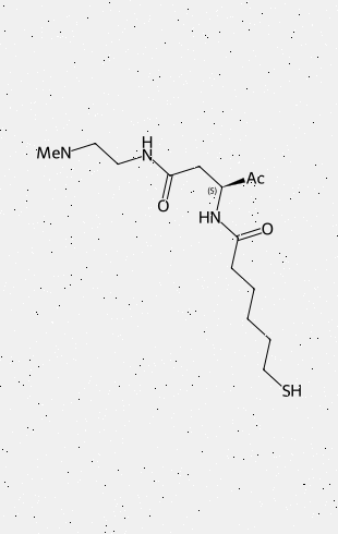 CNCCNC(=O)C[C@H](NC(=O)CCCCCS)C(C)=O